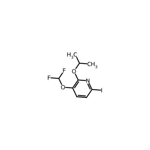 CC(C)Oc1nc(I)ccc1OC(F)F